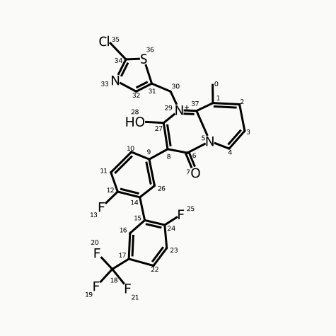 Cc1cccn2c(=O)c(-c3ccc(F)c(-c4cc(C(F)(F)F)ccc4F)c3)c(O)[n+](Cc3cnc(Cl)s3)c12